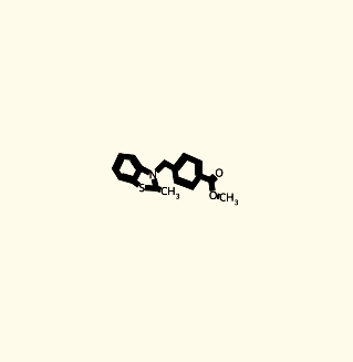 COC(=O)c1ccc(CN2c3ccccc3SC2C)cc1